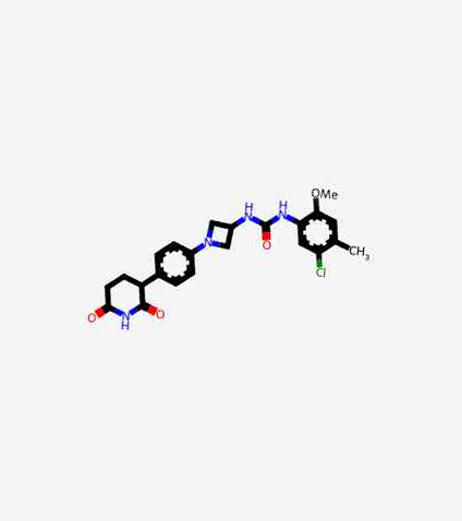 COc1cc(C)c(Cl)cc1NC(=O)NC1CN(c2ccc(C3CCC(=O)NC3=O)cc2)C1